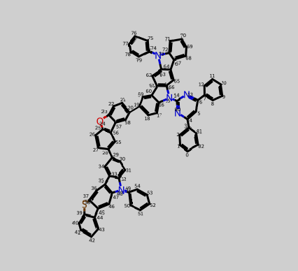 c1ccc(-c2cc(-c3ccccc3)nc(-n3c4ccc(-c5ccc6oc7ccc(-c8ccc9c(c8)c8cc%10sc%11ccccc%11c%10cc8n9-c8ccccc8)cc7c6c5)cc4c4cc5c(cc43)c3ccccc3n5-c3ccccc3)n2)cc1